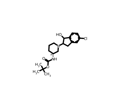 CC(C)(C)OC(=O)N[C@@H]1CCCN(C2Cc3cc(Cl)ccc3C2O)C1